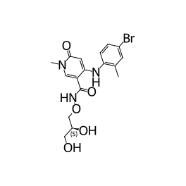 Cc1cc(Br)ccc1Nc1cc(=O)n(C)cc1C(=O)NOC[C@@H](O)CO